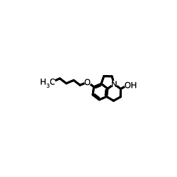 CCCCCOc1ccc2c3c1CCN3C(O)CC2